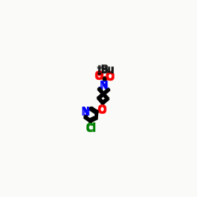 CC(C)(C)OC(=O)N1CC2(CC(Oc3cncc(Cl)c3)C2)C1